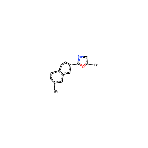 CC(C)c1ccc2ccc(-c3ncc(C(C)C)o3)cc2c1